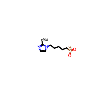 CCCCc1nccn1CCCCC[SH](=O)=O